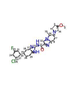 CO[C@@H]1CCN(c2ccc3nc(C(=O)Nc4nc5cc(-c6cc(F)cc(Cl)c6)ccc5[nH]4)cn3c2C)C1